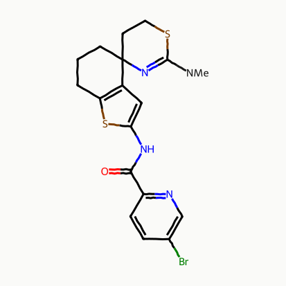 CNC1=NC2(CCCc3sc(NC(=O)c4ccc(Br)cn4)cc32)CCS1